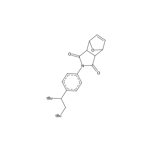 CC(C)(C)CC(c1ccc(N2C(=O)C3C4C=CC(O4)C3C2=O)cc1)C(C)(C)C